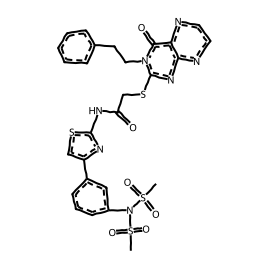 CS(=O)(=O)N(c1cccc(-c2csc(NC(=O)CSc3nc4nccnc4c(=O)n3CCc3ccccc3)n2)c1)S(C)(=O)=O